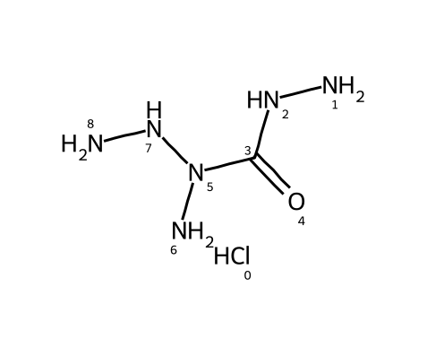 Cl.NNC(=O)N(N)NN